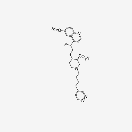 COc1ccc2nccc([C@H](F)CC[C@@H]3CCN(CCCCc4ccnnc4)C[C@@H]3C(=O)O)c2c1